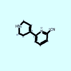 N#Cc1cccc(C2=CCNCC2)n1